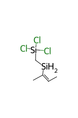 CC=C(C)[SiH2]C[Si](Cl)(Cl)Cl